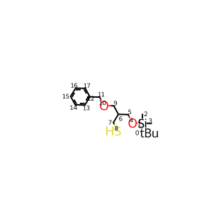 CC(C)(C)[Si](C)(C)OCC(CS)COCc1ccccc1